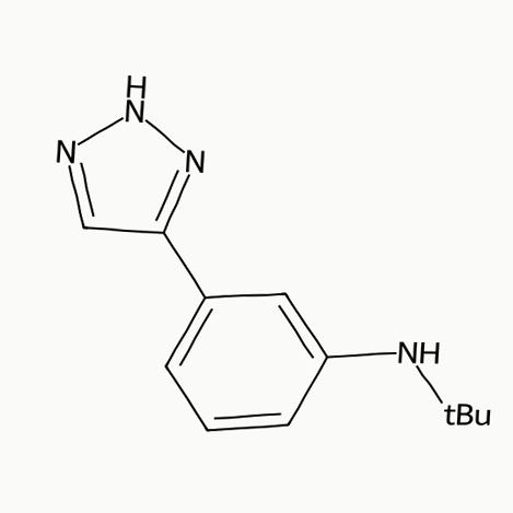 CC(C)(C)Nc1cccc(-c2cn[nH]n2)c1